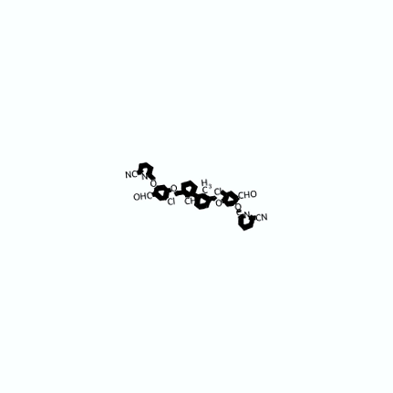 Cc1c(COc2cc(OCc3cccc(C#N)n3)c(C=O)cc2Cl)cccc1-c1cccc(COc2cc(OCc3cccc(C#N)n3)c(C=O)cc2Cl)c1C